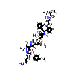 Cc1ccc(NC(=O)[C@H](CCCCN)NC(=O)C(NC(=O)CCC(C)(C)OCCC(C)(C)N/C2=C(\N=N)c3ccccc3N(C(=O)CCNC(=O)C(C)C)Cc3ccccc32)C(C)C)cc1